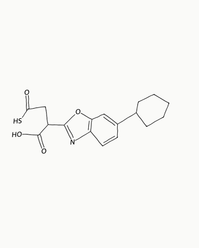 O=C(S)CC(C(=O)O)c1nc2ccc(C3CCCCC3)cc2o1